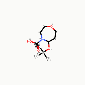 C[Si](C)(C)OC1CCOCCN1C(=O)O